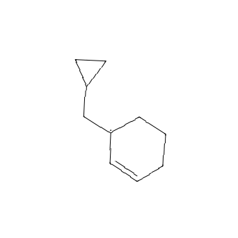 C1=C[C](CC2CC2)CCC1